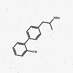 CNC(C)Cc1ccc(-c2ccccc2C#N)cc1